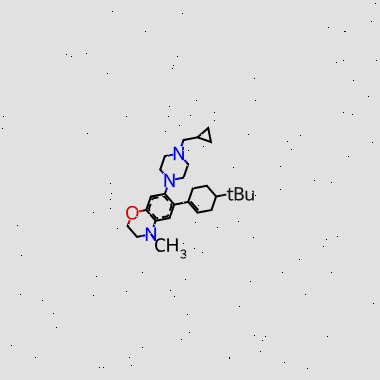 CN1CCOc2cc(N3CCN(CC4CC4)CC3)c(C3=CCC(C(C)(C)C)CC3)cc21